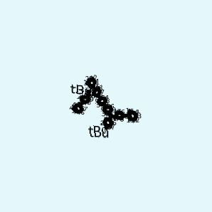 CC(C)(C)c1ccc(N(c2ccc(-c3ccccc3)cc2)c2ccc(-c3ccc(-c4ccc(-c5ccccc5)c(N(c5ccc(-c6ccccc6)cc5)C(C)(C)C)c4)cc3)cc2)cc1